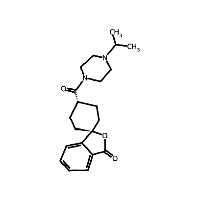 CC(C)N1CCN(C(=O)[C@H]2CC[C@@]3(CC2)OC(=O)c2ccccc23)CC1